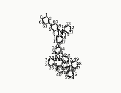 c1ccc(-c2ccc(N(c3ccccc3)c3ccc(-c4ccc5c(c4)c4ccc6c7c4n5-c4ccccc4-c4cccc(c4-7)C6(c4ccccc4)c4ccccc4)cc3)cc2)cc1